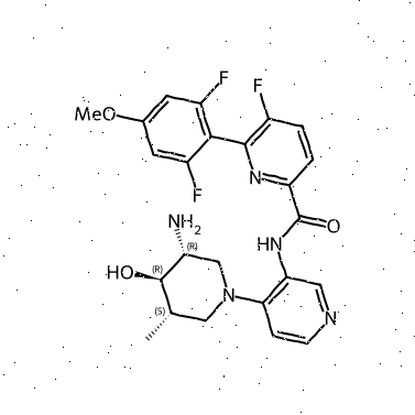 COc1cc(F)c(-c2nc(C(=O)Nc3cnccc3N3C[C@@H](N)[C@H](O)[C@@H](C)C3)ccc2F)c(F)c1